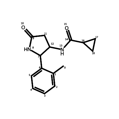 Cc1ccccc1C1NC(=O)CC1NC(=O)C1CC1